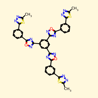 Cc1nnc(-c2cccc(-c3nc(-c4cc(-c5noc(-c6cccc(-c7nnc(C)s7)c6)n5)cc(-c5noc(-c6cccc(-c7nnc(C)s7)c6)n5)c4)no3)c2)s1